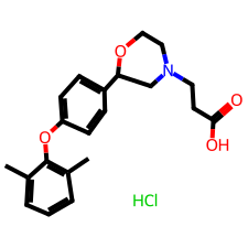 Cc1cccc(C)c1Oc1ccc(C2CN(CCC(=O)O)CCO2)cc1.Cl